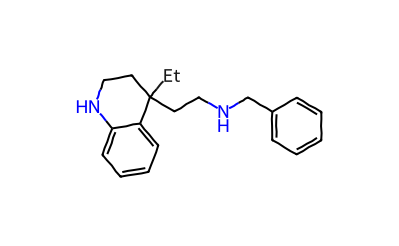 CCC1(CCNCc2ccccc2)CCNc2ccccc21